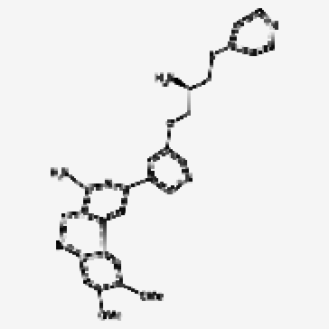 COc1cc2ncc3c(N)nc(-c4cncc(OC[C@@H](N)CSc5ccncc5)c4)cc3c2cc1OC